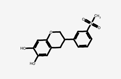 CS(=O)(=O)c1cccc(C2COc3cc(O)c(O)cc3C2)c1